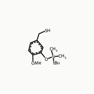 COc1ccc(CS)cc1O[Si](C)(C)C(C)(C)C